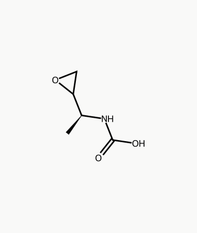 C[C@H](NC(=O)O)C1CO1